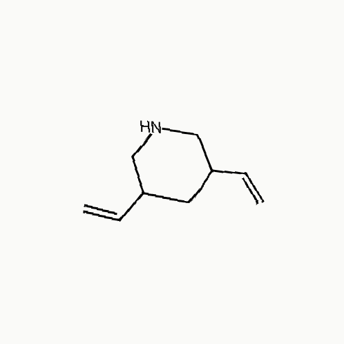 C=CC1CNCC(C=C)C1